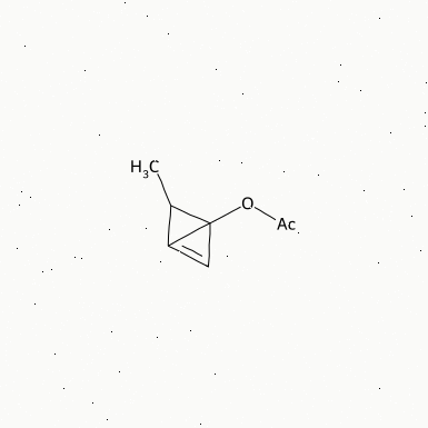 CC(=O)OC12C=C1C2C